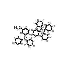 Cc1cccc([S+](c2ccccc2)c2ccccc2)c1.c1cc[c]([Ga-]([c]2ccccc2)([c]2ccccc2)[c]2ccccc2)cc1